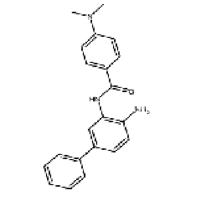 CN(C)c1ccc(C(=O)Nc2cc(-c3ccccc3)ccc2N)cc1